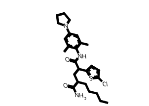 CCCCCC(CC(C(=O)Nc1c(C)cc(N2CCCC2)cc1C)c1ccc(Cl)s1)C(N)=O